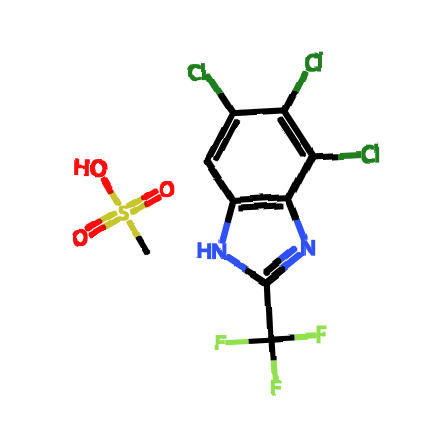 CS(=O)(=O)O.FC(F)(F)c1nc2c(Cl)c(Cl)c(Cl)cc2[nH]1